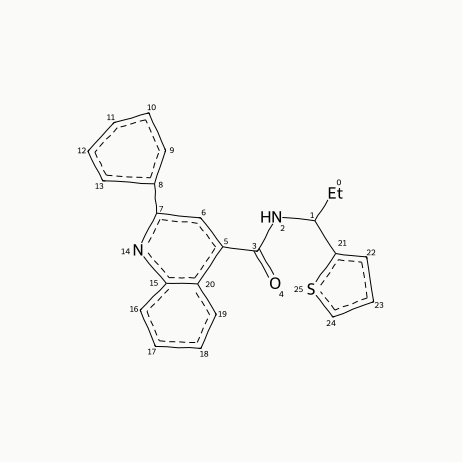 CCC(NC(=O)c1cc(-c2ccccc2)nc2ccccc12)c1cccs1